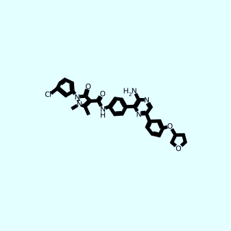 Cc1c(C(=O)Nc2ccc(-c3nc(-c4cccc(OC5CCOC5)c4)cnc3N)cc2)c(=O)n(-c2cccc(Cl)c2)n1C